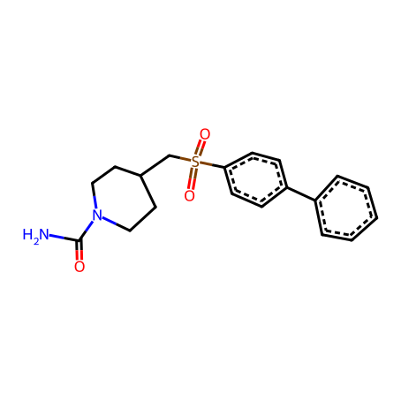 NC(=O)N1CCC(CS(=O)(=O)c2ccc(-c3ccccc3)cc2)CC1